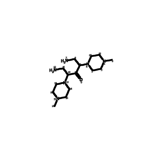 CN1CCN(C(CN)C(=O)C(CN)N2CCN(C)CC2)CC1